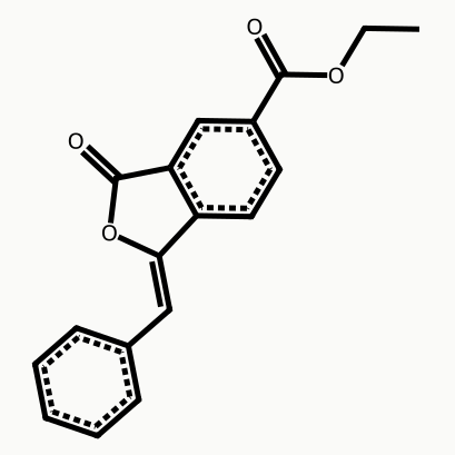 CCOC(=O)c1ccc2c(c1)C(=O)O/C2=C\c1ccccc1